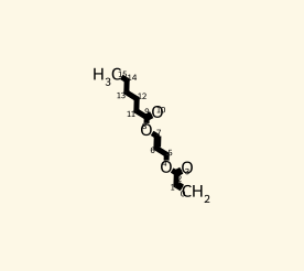 C=CC(=O)OCC=COC(=O)CCCCC